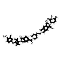 Cc1cc(O[C@H]2C(C)(C)[C@H](N3Cc4cc(C(=O)N5CCC(CCN6Cc7cc8c(cc7C6)C(=O)N(C6CCC(=O)NC6=O)C8=O)CC5)ccc4C3=O)C2(C)C)ccc1C#N